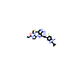 C=CC(=O)N1CC[C@H](n2nc(C#Cc3cc4nc(C5CC5)n(C)c4cc3F)c3c(N)ncc(-c4nccs4)c32)C1